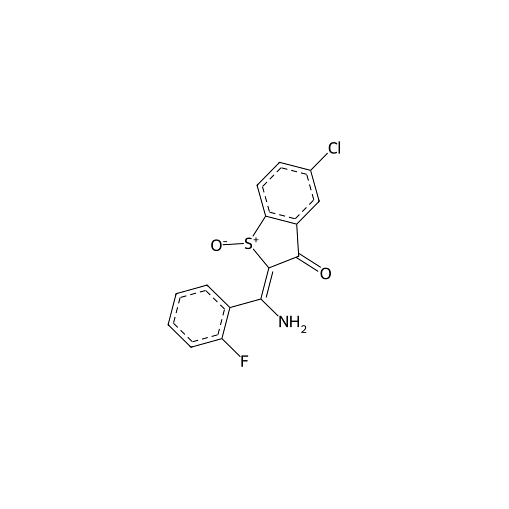 NC(=C1C(=O)c2cc(Cl)ccc2[S+]1[O-])c1ccccc1F